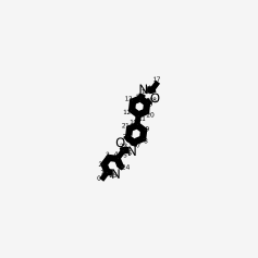 Cc1ccc(-c2nc3ccc(-c4ccc5nc(C)oc5c4)cc3o2)cn1